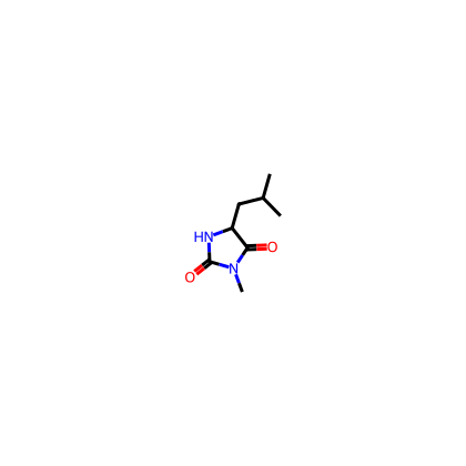 CC(C)CC1NC(=O)N(C)C1=O